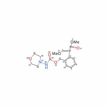 CO/C=C(/C(=O)OC)c1ccccc1COC(=O)NN1CCOCC1